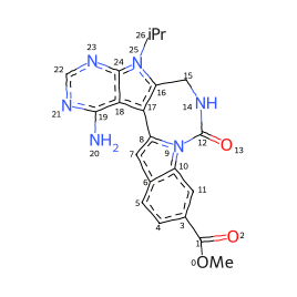 COC(=O)c1ccc2cc3n(c2c1)C(=O)NCc1c-3c2c(N)ncnc2n1C(C)C